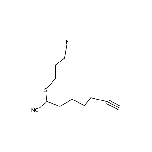 C#CCCCCC(C#N)SCCCF